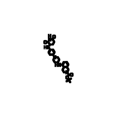 CC(C)(C)OC(=O)N1CCc2c(cccc2NC2CCN(c3ccc(NC4CCC(=O)NC4=O)cc3)CC2)C1